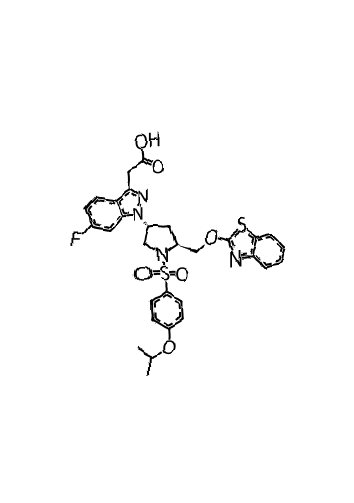 CC(C)Oc1ccc(S(=O)(=O)N2C[C@H](n3nc(CC(=O)O)c4ccc(F)cc43)C[C@H]2COc2nc3ccccc3s2)cc1